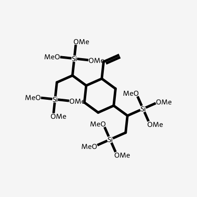 C=CC1CC(C(C[Si](OC)(OC)OC)[Si](OC)(OC)OC)CCC1C(C[Si](OC)(OC)OC)[Si](OC)(OC)OC